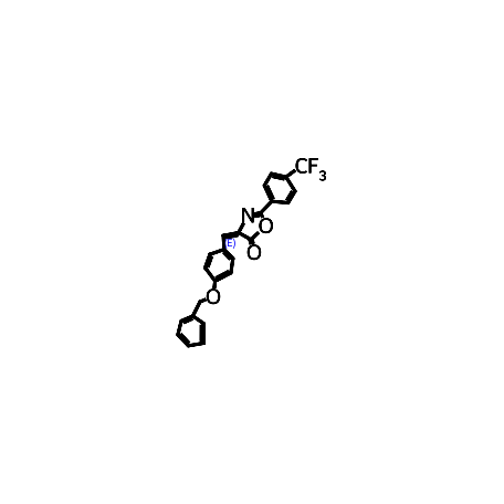 O=C1OC(c2ccc(C(F)(F)F)cc2)=N/C1=C/c1ccc(OCc2ccccc2)cc1